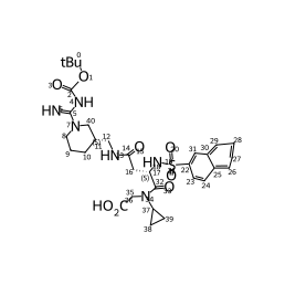 CC(C)(C)OC(=O)NC(=N)N1CCC[C@@H](CNC(=O)C[C@H](NS(=O)(=O)c2ccc3ccccc3c2)C(=O)N(CC(=O)O)C2CC2)C1